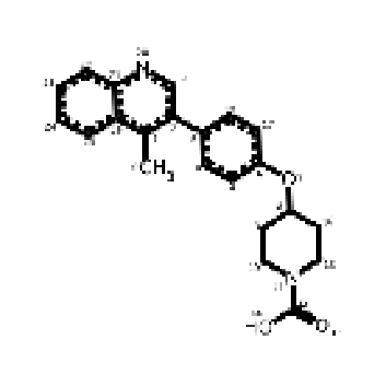 Cc1c(-c2ccc(OC3CCN(C(=O)O)CC3)cc2)cnc2ccccc12